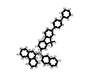 CC1(C)c2cc(-c3ccc(-c4ccccc4)cc3)ccc2-c2ccc(N(c3ccc4ccccc4c3)c3cc4ccccc4c4ccccc34)cc21